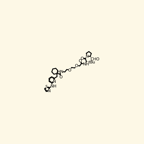 CC(C)(C)[C@H](NC(=O)COCCOCCNC(=O)C1(Cc2cccc(Nc3nccs3)n2)CCCCC1)C(=O)N1CCC[C@H]1C=O